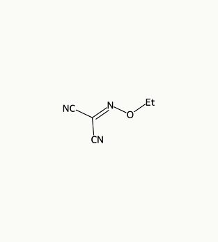 CCON=C(C#N)C#N